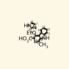 CCOc1c(C(=O)O)nc(C)c2[nH]c3ccccc3c12.c1c[nH]cn1